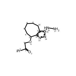 CC(C)C(=O)COC1CCCCCc2c1nnn2NN